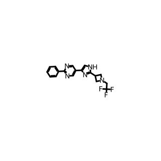 FC(F)(F)CN1CC(c2nc(-c3cnc(-c4ccccc4)nc3)c[nH]2)C1